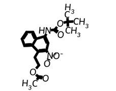 CC(=O)OCCc1c([N+](=O)[O-])cc(NC(=O)OC(C)(C)C)c2ccccc12